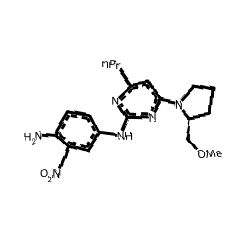 CCCc1cc(N2CCC[C@H]2COC)nc(Nc2ccc(N)c([N+](=O)[O-])c2)n1